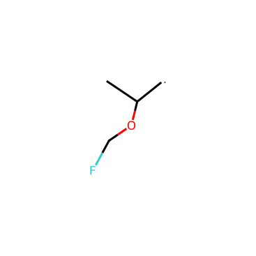 [CH2]C(C)OCF